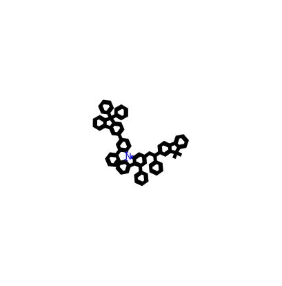 CC1(C)c2ccccc2-c2ccc(C(Cc3cc(-c4ccccc4)c4c5ccccc5n(-c5ccc(-c6ccc7c(c6)-c6ccccc6C7(c6ccccc6)c6ccccc6)cc5-c5ccccc5)c4c3)c3ccccc3)cc21